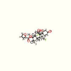 C[C@@H]1C[C@H]2[C@@H]3C[C@H](F)C4=CC(=O)C=C[C@]4(C)[C@@]3(F)[C@@H](O)C[C@]2(C)[C@@H]1OC(=O)c1ccco1